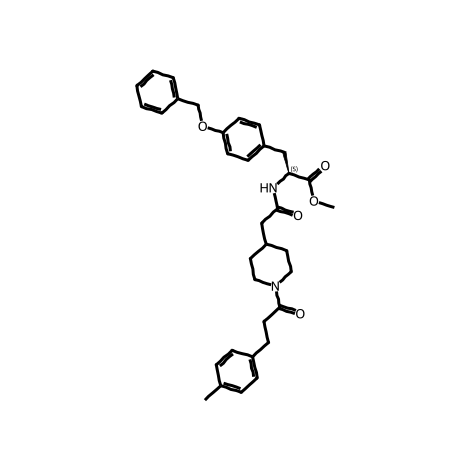 COC(=O)[C@H](Cc1ccc(OCc2ccccc2)cc1)NC(=O)CC1CCN(C(=O)CCc2ccc(C)cc2)CC1